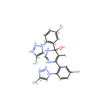 CC1=C(c2cc(Cl)ccc2-n2cc(Cl)nn2)N=CNC1(O)c1cc(Cl)ccc1-n1cc(Cl)nn1